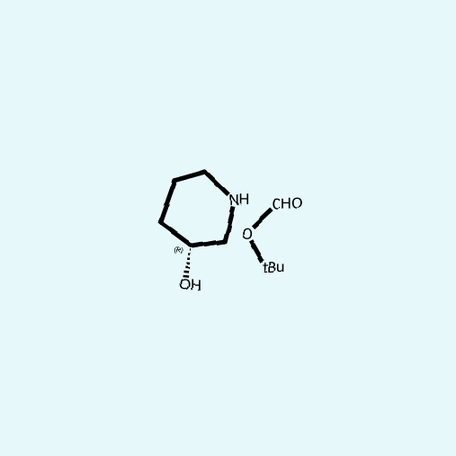 CC(C)(C)OC=O.O[C@@H]1CCCNC1